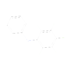 Fc1c(F)c(F)c(Nc2ccccc2)c(F)c1F